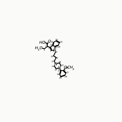 CCC(C(=O)O)c1cn(CCCCN2CCN(c3ccccc3OC)CC2)c2ccccc12